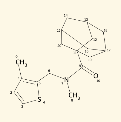 Cc1ccsc1CN(C)C(=O)C12CC3CC(CC(C3)C1)C2